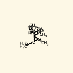 CCCOc1cc(OCCCCN(C)C)cc(Oc2cc3c(cc2NS(=O)(=O)c2cnn(C)c2C)n(C)c(=O)n3C)c1